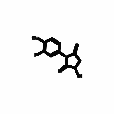 CC(C)(C)c1ccc(N2C(=O)CC(S)C2=O)cc1F